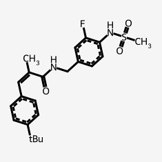 CC(=Cc1ccc(C(C)(C)C)cc1)C(=O)NCc1ccc(NS(C)(=O)=O)c(F)c1